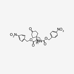 O=C1CCC(CNC(=O)OCc2ccc([N+](=O)[O-])cc2)(NC(=O)OCc2ccc([N+](=O)[O-])cc2)CC1